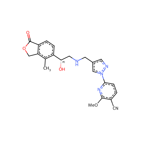 COc1nc(-n2cc(CNC[C@H](O)c3ccc4c(c3C)COC4=O)cn2)ccc1C#N